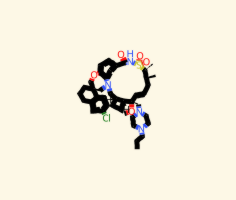 CCCN1CCN(C[C@@]2(OC)/C=C/C[C@H](C)[C@@H](C)S(=O)(=O)NC(=O)c3ccc4c(c3)N(C[C@@H]3CC[C@H]32)C[C@@]2(CCCc3cc(Cl)ccc32)CO4)CC1